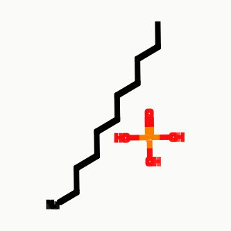 CCCCCCCCC[CH2][Na].O=P(O)(O)O